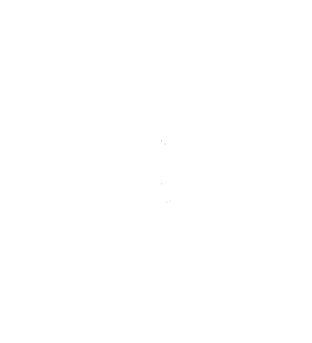 ON1CC2C3C=CC(O3)C2C1